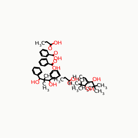 CC(C)(C(O)c1ccccc1)C(O)c1ccccc1.CCC(=O)O.CCC(=O)O.CCC(C(O)C(C)(C)C)C(O)C(C)(C)C.O=C(O)c1ccccc1.O=C(O)c1ccccc1